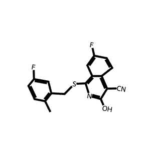 Cc1ccc(F)cc1CSc1nc(O)c(C#N)c2ccc(F)cc12